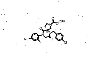 CC(C)(C)OC(=O)N1CC[C@@]2(C1)C(=O)N(c1ccc(C#N)cc1F)CC(=O)N2Cc1ccc(Cl)cc1